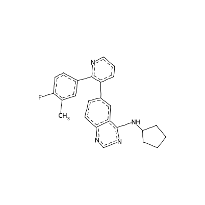 Cc1cc(-c2ncccc2-c2ccc3ncnc(NC4CCCC4)c3c2)ccc1F